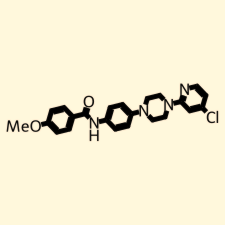 COc1ccc(C(=O)Nc2ccc(N3CCN(c4cc(Cl)ccn4)CC3)cc2)cc1